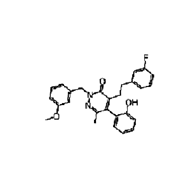 COc1cccc(Cn2nc(C)c(-c3ccccc3O)c(CCc3cccc(F)c3)c2=O)c1